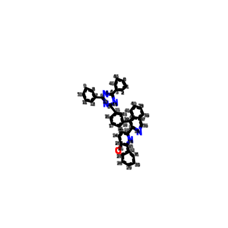 c1ccc(-c2nc(-c3ccccc3)nc(-c3cccc(-c4c(-c5ccc6oc7ccccc7c6n5)ncc5ccccc45)c3)n2)cc1